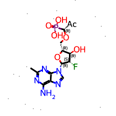 CC(=O)[C@H](OC[C@H]1O[C@@H](n2cnc3c(N)nc(C)nc32)[C@@H](F)[C@@H]1O)P(=O)(O)O